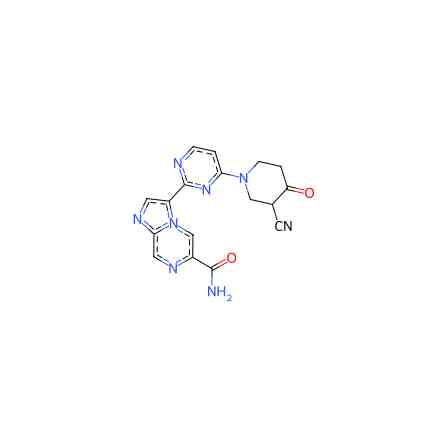 N#CC1CN(c2ccnc(-c3cnc4cnc(C(N)=O)cn34)n2)CCC1=O